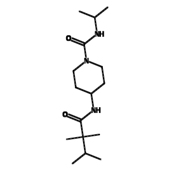 CC(C)NC(=O)N1CCC(NC(=O)C(C)(C)C(C)C)CC1